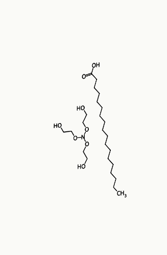 CCCCCCCCCCCCCCCCCC(=O)O.OCCON(OCCO)OCCO